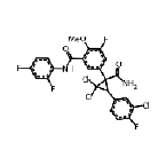 COc1c(F)cc(C2(C(N)=O)C(c3ccc(F)c(Cl)c3)C2(Cl)Cl)cc1C(=O)Nc1ccc(F)cc1F